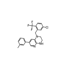 Cc1cccc(-c2cnc3c(c2)N(Cc2cc(Cl)ccc2C(F)(F)F)CCN3)c1